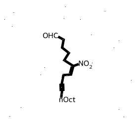 CCCCCCCCC#CCC=C(CCCCC=O)[N+](=O)[O-]